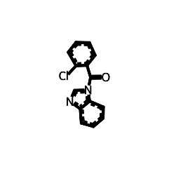 O=C(c1ccccc1Cl)n1cnc2ccccc21